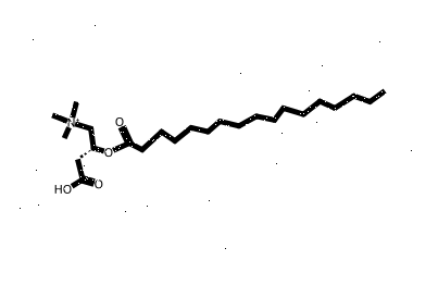 CCCCCCCCCCCCCCCCC(=O)O[C@H](CC(=O)O)C[N+](C)(C)C